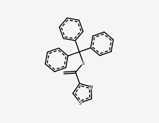 C=C(SC(c1ccccc1)(c1ccccc1)c1ccccc1)c1cscn1